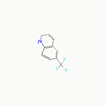 FC(F)(F)c1ccc2c(c1)C=CC[N]2